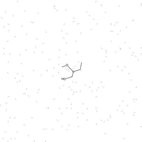 CCN(CO)OC